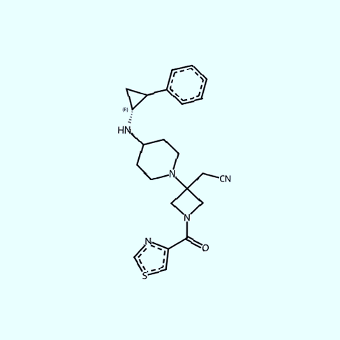 N#CCC1(N2CCC(N[C@@H]3CC3c3ccccc3)CC2)CN(C(=O)c2cscn2)C1